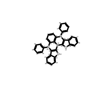 c1ccc(N2c3cccc4c3B(c3oc5ccccc5c32)c2oc3ccccc3c2N4c2ccccc2)cc1